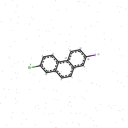 Brc1ccc2c(ccc3cc(I)ccc32)c1